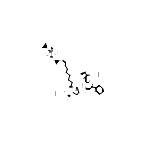 Cc1ccsc1-c1nc(O[C@@H]2C[C@@H](C(N)=O)N(C(=O)CCCCCC/C=C\[C@@H]3C[C@@H]3C(=O)NS(=O)(=O)C3CC3)C2)c2oc3ccccc3c2n1